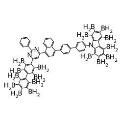 Bc1c(B)c(B)c(-c2c(B)c(B)c(-c3cc(-c4ccc(-c5ccc(-c6ccc(-n7c8c(B)c(B)c(B)c(B)c8c8c(B)c(B)c(B)c(B)c87)cc6)cc5)c5ccccc45)nc(-c4ccccc4)n3)c(B)c2B)c(B)c1B